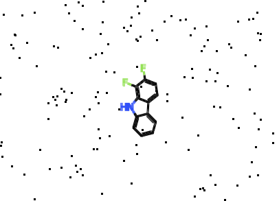 Fc1ccc2c([nH]c3ccccc32)c1F